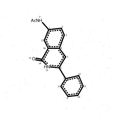 CC(=O)Nc1ccc2cc(-c3ccccc3)[nH]c(=O)c2c1